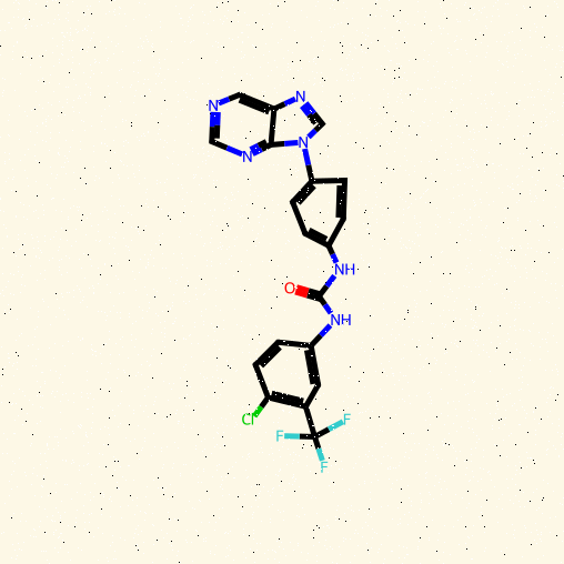 O=C(Nc1ccc(-n2cnc3cncnc32)cc1)Nc1ccc(Cl)c(C(F)(F)F)c1